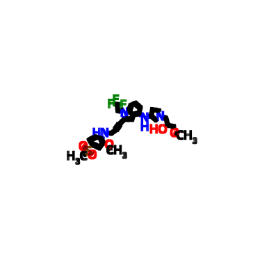 COCC(O)CN1CCC(Nc2cccc3c2cc(C#CCNc2ccc(S(C)(=O)=O)cc2OC)n3CC(F)(F)F)C1